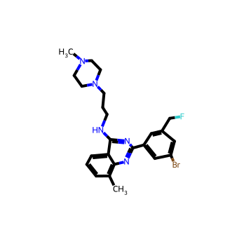 Cc1cccc2c(NCCCN3CCN(C)CC3)nc(-c3cc(Br)cc(CF)c3)nc12